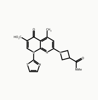 CNC(=O)C1CN(c2cc(C)c3c(=O)c(C(=O)O)cn(-c4nccs4)c3n2)C1